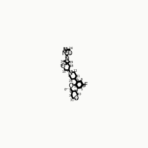 C[C@H](Oc1ccc(F)cc1C1CCN([C@@H]2COC3(C2)CN(c2nnco2)C3)CC1)C1CCOCC1